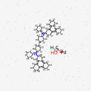 CC(=O)O.[Pd].c1ccc(N(c2ccc(-c3ccc(N(c4ccccc4)c4ccc5c6ccccc6c6ccccc6c5c4)cc3)cc2)c2ccc3c4ccccc4c4ccccc4c3c2)cc1